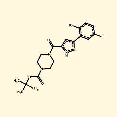 CC(C)(C)OC(=O)N1CCN(C(=O)c2cc(-c3cc(F)ccc3O)n[nH]2)CC1